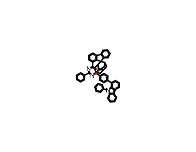 c1ccc(-c2nc(-c3ccc(-c4cccc5c6ccccc6n(-c6ccccc6)c45)cc3)nc(-c3cccc4c3C3(c5ccccc5-4)C4CC5CC(C4)CC3C5)n2)cc1